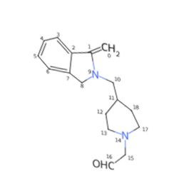 C=C1c2ccccc2CN1CC1CCN(CC=O)CC1